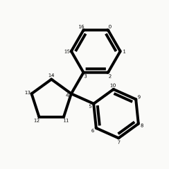 c1ccc(C2(c3ccccc3)CCCC2)cc1